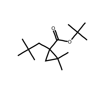 CC(C)(C)CC1(C(=O)OC(C)(C)C)CC1(C)C